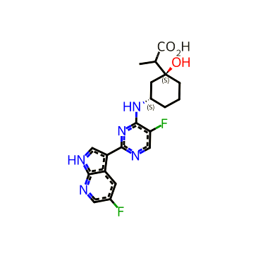 CC(C(=O)O)[C@]1(O)CCC[C@H](Nc2nc(-c3c[nH]c4ncc(F)cc34)ncc2F)C1